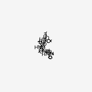 CCCC(NC(=O)C1CC(C)(C)CN1C(=O)[C@@H](NC(=O)OCC(C)C)C1CCC(C)(C)CC1)C(=O)C(=O)NCC(=O)N[C@H](C(=O)N(C)C)c1ccccc1